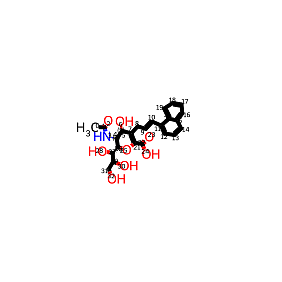 CC(=O)N[C@@H]1[C@@H](O)C(CC=Cc2cccc3ccccc23)=C(C(=O)O)O[C@H]1C(O)C(O)CO